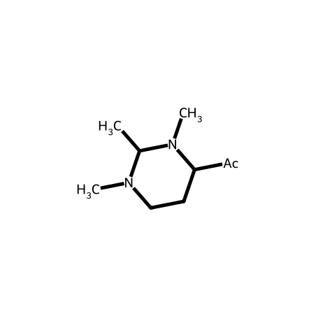 CC(=O)C1CCN(C)C(C)N1C